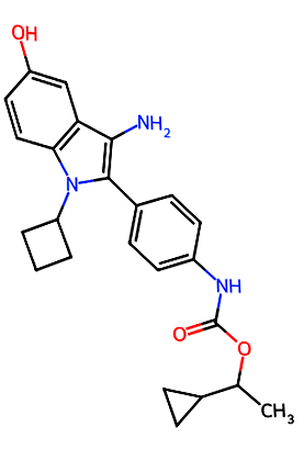 CC(OC(=O)Nc1ccc(-c2c(N)c3cc(O)ccc3n2C2CCC2)cc1)C1CC1